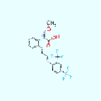 CO/C=C(\C(=O)O)c1ccccc1C=CC=Cc1ccc(C(F)(F)F)cc1C(F)(F)F